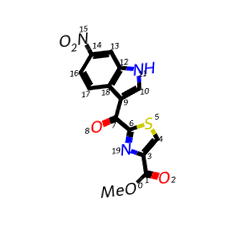 COC(=O)c1csc(C(=O)c2c[nH]c3cc([N+](=O)[O-])ccc23)n1